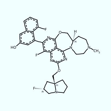 CN1CC[C@@H]2COc3nc(-c4cc(O)cc5cccc(F)c45)c(F)c4nc(OC[C@@]56CCCN5C[C@H](F)C6)nc(c34)N2CC1